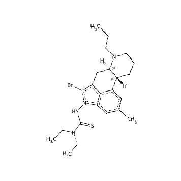 CCCN1CCC[C@@H]2c3cc(C)cc4c3c(c(Br)n4NC(=S)N(CC)CC)C[C@H]21